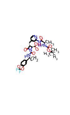 C[C@H](NC(=O)OC(C)(C)C)C(=O)Nc1cc(C[C@H]2C(=O)N(C(=O)N[C@H](C)c3ccc4c(c3)OC(F)(F)O4)[C@@H]2C(=O)O)ccn1